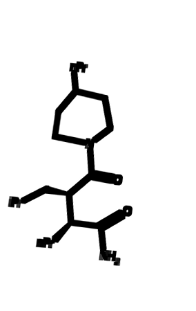 CCCC1CCN(C(=O)[C@H](CC(C)C)[C@H](CCC)C(N)=O)CC1